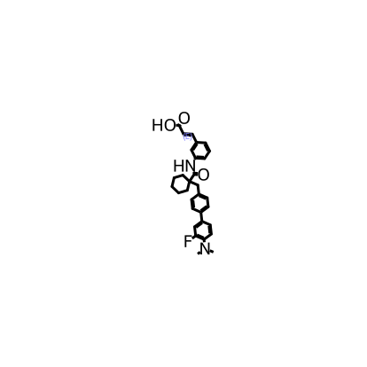 CN(C)c1ccc(-c2ccc(CC3(C(=O)Nc4cccc(/C=C/C(=O)O)c4)CCCCC3)cc2)cc1F